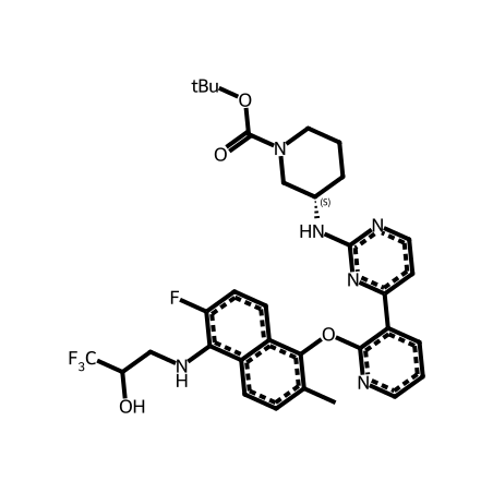 Cc1ccc2c(NCC(O)C(F)(F)F)c(F)ccc2c1Oc1ncccc1-c1ccnc(N[C@H]2CCCN(C(=O)OC(C)(C)C)C2)n1